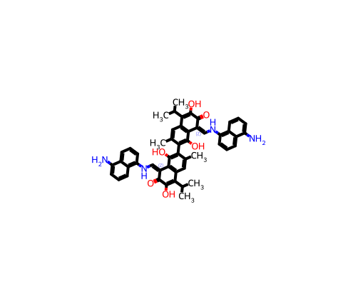 Cc1cc2c(c(O)c1-c1c(C)cc3c(c1O)/C(=C/Nc1cccc4c(N)cccc14)C(=O)C(O)=C3C(C)C)/C(=C/Nc1cccc3c(N)cccc13)C(=O)C(O)=C2C(C)C